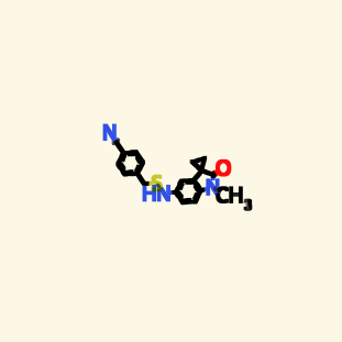 CN1C(=O)C2(CC2)c2cc(NSCc3ccc(C#N)cc3)ccc21